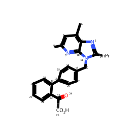 CCCc1nc2c(C)cc(C)nc2n1Cc1ccc(-c2ccccc2C(=O)C(=O)O)cc1